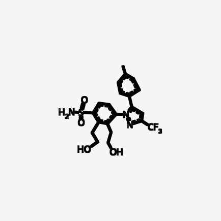 Cc1ccc(-c2cc(C(F)(F)F)nn2-c2ccc(S(N)(=O)=O)c(CCO)c2CCO)cc1